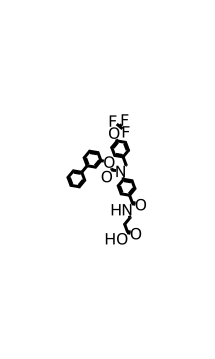 O=C(O)CCNC(=O)c1ccc(N(Cc2ccc(OC(F)(F)F)cc2)C(=O)Oc2cccc(-c3ccccc3)c2)cc1